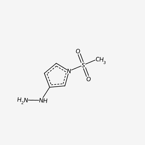 CS(=O)(=O)n1ccc(NN)c1